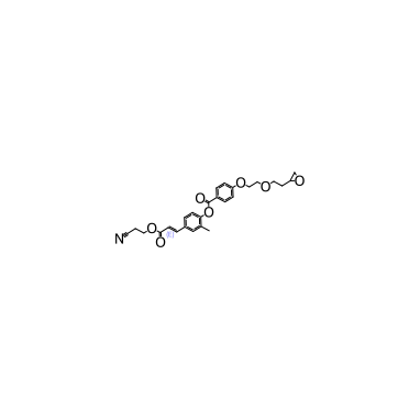 Cc1cc(/C=C/C(=O)OCCC#N)ccc1OC(=O)c1ccc(OCCOCCC2CO2)cc1